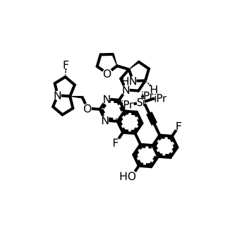 CC(C)[Si](C#Cc1c(F)ccc2cc(O)cc(-c3ccc4c(N5C[C@@H]6CC[C@]([C@@H]7CCCO7)(C5)N6)nc(OC[C@@]56CCCN5C[C@H](F)C6)nc4c3F)c12)(C(C)C)C(C)C